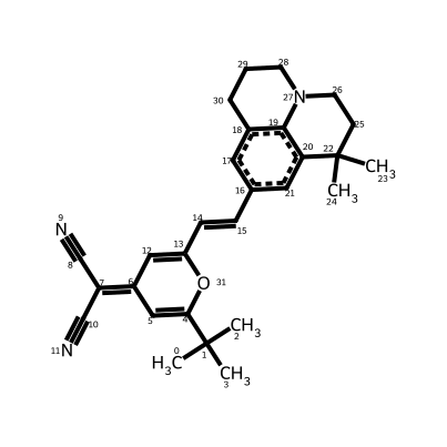 CC(C)(C)C1=CC(=C(C#N)C#N)C=C(/C=C/c2cc3c4c(c2)C(C)(C)CCN4CCC3)O1